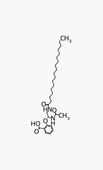 CCCCCCCCCCCCCCCCCC(=O)NCC(NC(C)=O)Oc1ccccc1C(=O)O